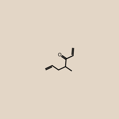 C=CCC(C)C(=O)C=C